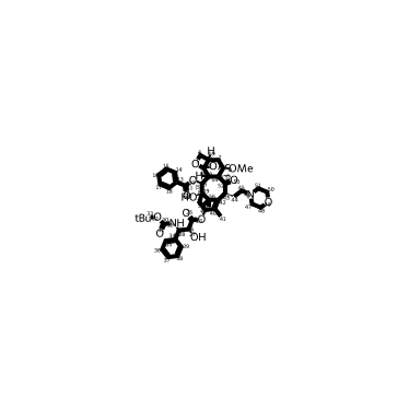 CO[C@H]1C[C@H]2CO[C@@]2(OC(C)=O)[C@H]2[C@H](OC(=O)c3ccccc3)[C@]3(O)C[C@H](OC(=O)[C@H](O)[C@@H](NC(=O)OC(C)(C)C)c4ccccc4)C(C)=C([C@@H](CCN4CCOCC4)C(=O)[C@]12C)C3(C)C